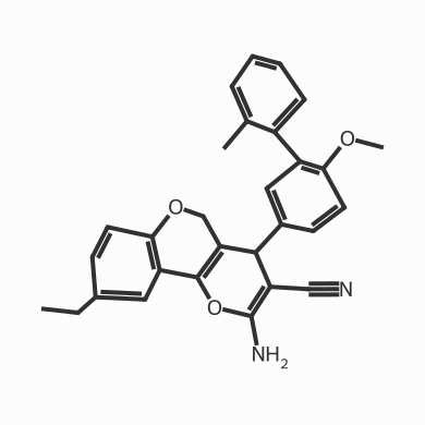 CCc1ccc2c(c1)C1=C(CO2)C(c2ccc(OC)c(-c3ccccc3C)c2)C(C#N)=C(N)O1